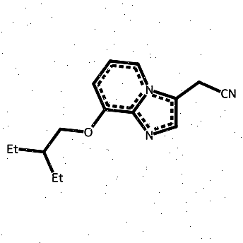 CCC(CC)COc1cccn2c(CC#N)cnc12